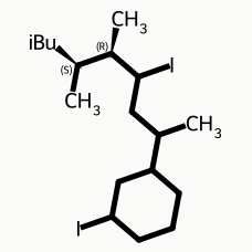 CCC(C)[C@H](C)[C@@H](C)C(I)CC(C)C1CCCC(I)C1